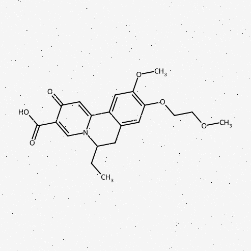 CCC1Cc2cc(OCCOC)c(OC)cc2-c2cc(=O)c(C(=O)O)cn21